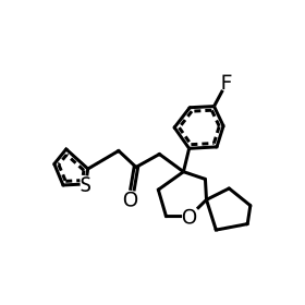 O=C(Cc1cccs1)CC1(c2ccc(F)cc2)CCOC2(CCCC2)C1